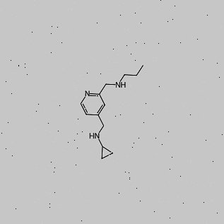 CCCNCc1cc(CNC2CC2)ccn1